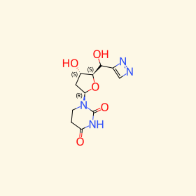 O=C1CCN([C@H]2C[C@H](O)[C@@H](C(O)C3=CN=N3)O2)C(=O)N1